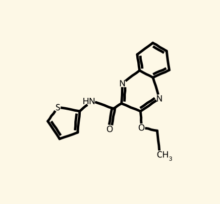 CCOc1nc2ccccc2nc1C(=O)Nc1cccs1